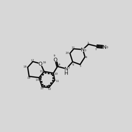 N#CCN1CCC(NC(=O)c2cccc3c2OCCC3)CC1